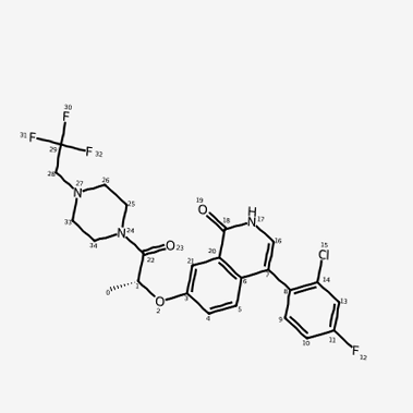 C[C@@H](Oc1ccc2c(-c3ccc(F)cc3Cl)c[nH]c(=O)c2c1)C(=O)N1CCN(CC(F)(F)F)CC1